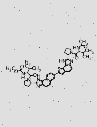 COC(=O)N[C@H](C(=O)N1CCC[C@H]1c1nc2ccc3cc(-c4cc5ccc6nc([C@@H]7CCCN7C(=O)[C@@H](NC(C)=O)C(C)C)[nH]c6c5s4)ccc3c2[nH]1)C(C)C